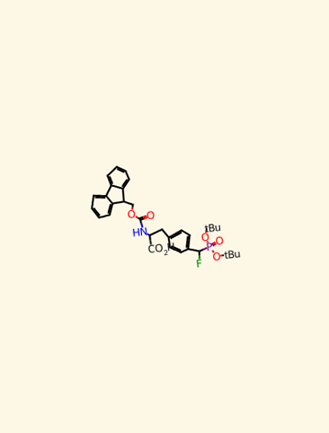 CC(C)(C)OP(=O)(OC(C)(C)C)C(F)c1ccc(CC(NC(=O)OCC2c3ccccc3-c3ccccc32)C(=O)O)cc1